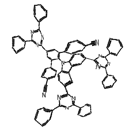 N#Cc1ccc(-c2cc(-c3nc(-c4ccccc4)nc(-c4ccccc4)n3)cc(-c3ccc(C#N)cc3)c2-n2c3ccc(-c4nc(-c5ccccc5)nc(-c5ccccc5)n4)cc3c3cc(-c4nc(-c5ccccc5)nc(-c5ccccc5)n4)ccc32)cc1